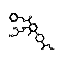 CC(C)(C)OC(=O)N1CCN(c2ccc(C(=O)OCc3ccccc3)c(NCC(O)CO)c2F)CC1